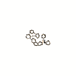 c1ccc(N(c2ccccc2)c2ccc3ccc4cc5c(cc4c3c2)C2(c3ccccc3-c3ccccc32)c2ccccc2-5)cc1